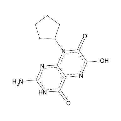 Nc1nc2c(nc(O)c(=O)n2C2CCCC2)c(=O)[nH]1